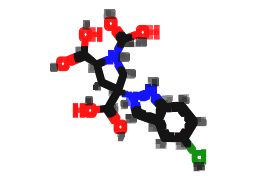 O=C(O)[C@@H]1C[C@@](C(=O)O)(n2cc3cc(Cl)ccc3n2)CN1C(=O)O